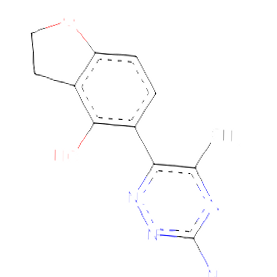 Cc1nc(N)nnc1-c1ccc2c(c1O)CCO2